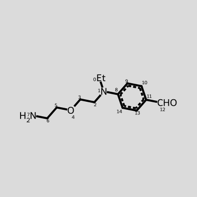 CCN(CCOCCN)c1ccc(C=O)cc1